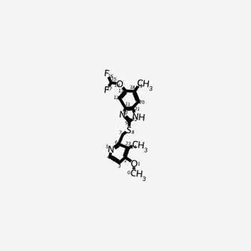 COc1ccnc(CSc2nc3cc(OC(F)F)c(C)cc3[nH]2)c1C